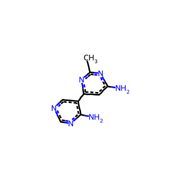 Cc1nc(N)cc(-c2cncnc2N)n1